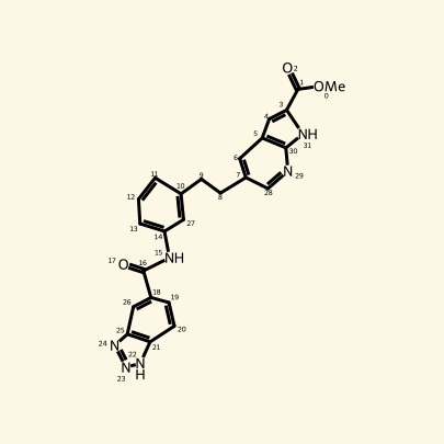 COC(=O)c1cc2cc(CCc3cccc(NC(=O)c4ccc5[nH]nnc5c4)c3)cnc2[nH]1